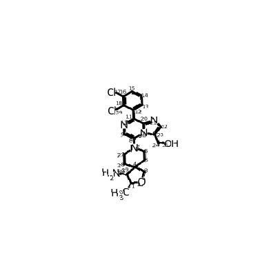 C[C@@H]1OCC2(CCN(c3cnc(-c4cccc(Cl)c4Cl)c4ncc(CO)n34)CC2)[C@@H]1N